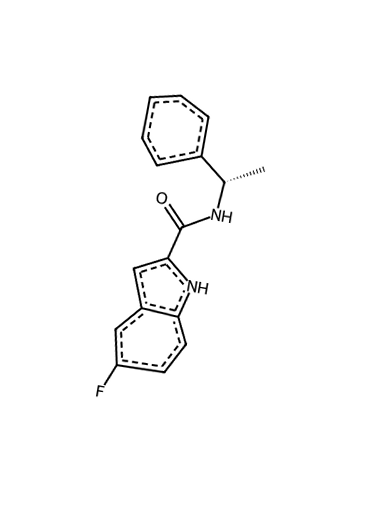 C[C@H](NC(=O)c1cc2cc(F)ccc2[nH]1)c1ccccc1